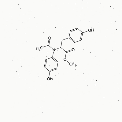 COC(=O)C(Cc1ccc(O)cc1)N(C(C)=O)c1ccc(O)cc1